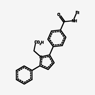 CCNC(=O)c1ccc(-c2ccc(-c3ccccc3)n2CC(=O)O)cc1